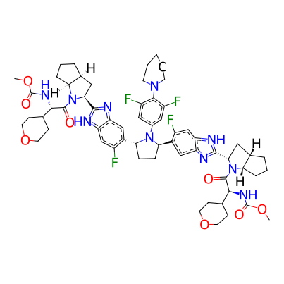 COC(=O)N[C@H](C(=O)N1[C@H](c2nc3cc([C@H]4CC[C@H](c5cc6nc([C@@H]7C[C@@H]8CCC[C@@H]8N7C(=O)[C@@H](NC(=O)OC)C7CCOCC7)[nH]c6cc5F)N4c4cc(F)c(N5CCCCC5)c(F)c4)c(F)cc3[nH]2)C[C@@H]2CCC[C@@H]21)C1CCOCC1